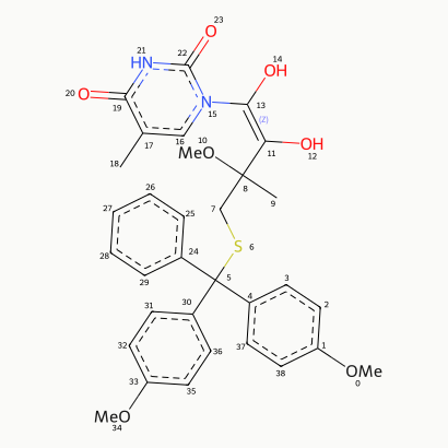 COc1ccc(C(SCC(C)(OC)/C(O)=C(/O)n2cc(C)c(=O)[nH]c2=O)(c2ccccc2)c2ccc(OC)cc2)cc1